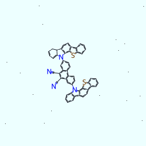 N#Cc1c(C#N)c2cc(-n3c4ccccc4c4ccc5c6ccccc6sc5c43)ccc2c2ccc(N3C4=CC=CCC4c4ccc5c(sc6ccccc65)c43)cc12